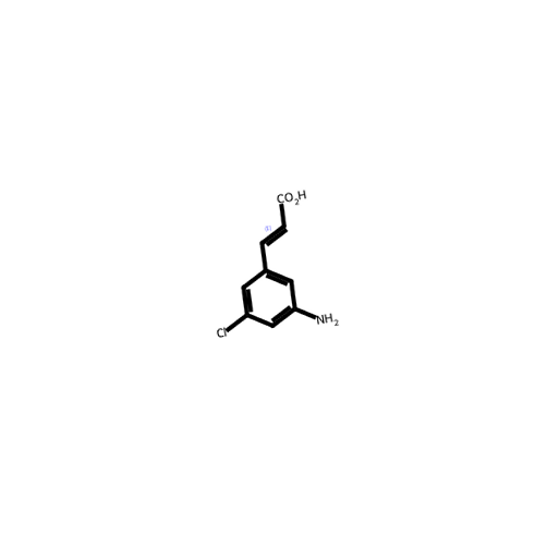 Nc1cc(Cl)cc(/C=C/C(=O)O)c1